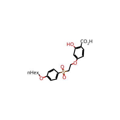 CCCCCCOc1ccc(S(=O)(=O)CCOc2ccc(C(=O)O)c(O)c2)cc1